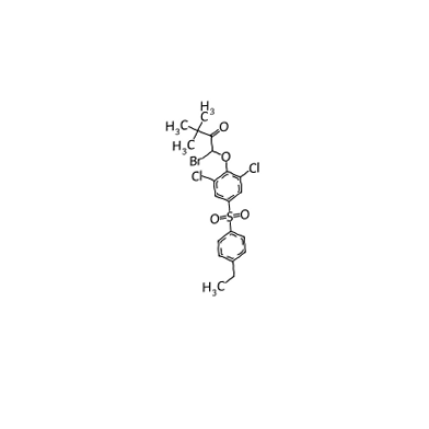 CCc1ccc(S(=O)(=O)c2cc(Cl)c(OC(Br)C(=O)C(C)(C)C)c(Cl)c2)cc1